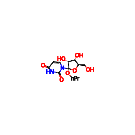 CCCO[C@@]1(n2ccc(=O)[nH]c2=O)O[C@H](CO)[C@@H](O)[C@H]1O